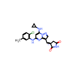 Cc1ccc(Cl)c(Nc2cc(NC3CC3)n3ncc(/C=C4\CC(=O)NC4=O)c3n2)c1